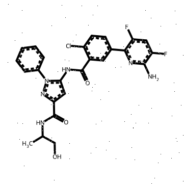 CC(CO)NC(=O)c1cc(NC(=O)c2cc(-c3nc(N)c(F)cc3F)ccc2Cl)n(-c2ccccc2)n1